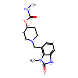 Cn1c(=O)[nH]c2cccc(CN3CCC(OC(=O)NC(C)(C)C)CC3)c21